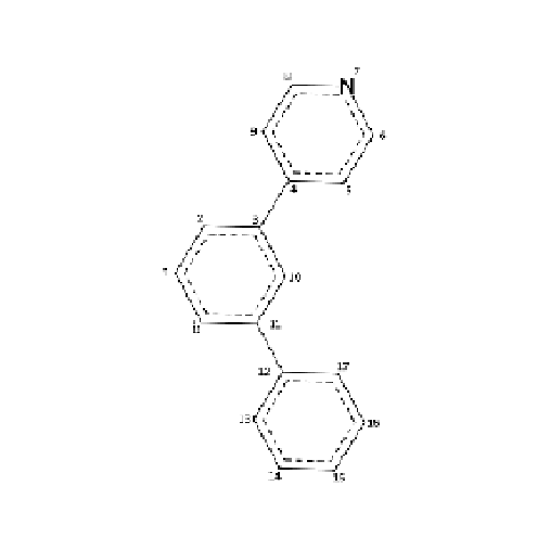 [c]1ccc(-c2ccncc2)cc1-c1ccccc1